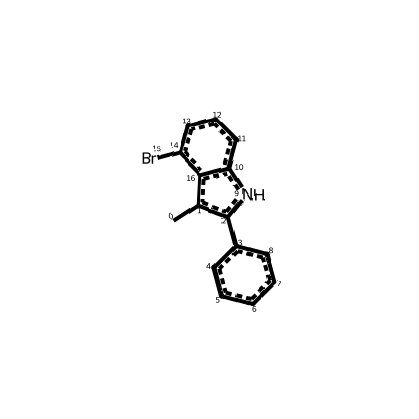 Cc1c(-c2ccccc2)[nH]c2cccc(Br)c12